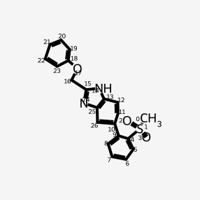 CS(=O)(=O)c1ccccc1-c1ccc2[nH]c(COc3ccccc3)nc2c1